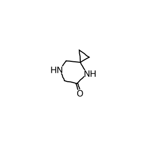 O=C1CNCC2(CC2)N1